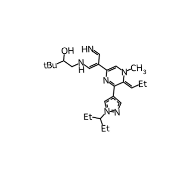 CC/C=C1/C(c2cnn(C(CC)CC)c2)=NC(/C(C=N)=C/NCC(O)C(C)(C)C)=CN1C